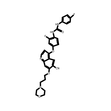 N#Cc1cc2c(Oc3ccc(NC(=O)Nc4ccc(F)cc4)c(F)c3)ccnc2cc1OCCCN1CCOCC1